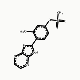 COc1cc(OS(C)(=O)=O)ccc1-c1nc2nccnc2[nH]1